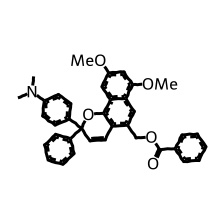 COc1cc(OC)c2cc(COC(=O)c3ccccc3)c3c(c2c1)OC(c1ccccc1)(c1ccc(N(C)C)cc1)C=C3